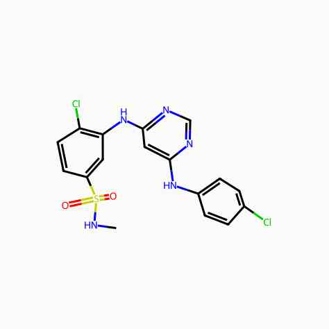 CNS(=O)(=O)c1ccc(Cl)c(Nc2cc(Nc3ccc(Cl)cc3)ncn2)c1